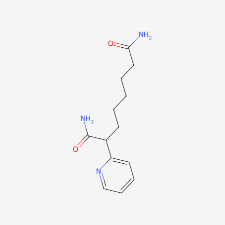 NC(=O)CCCCCC(C(N)=O)c1ccccn1